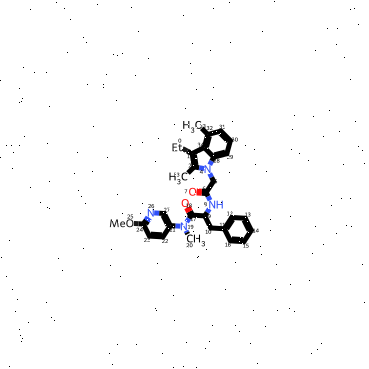 CCc1c(C)n(CC(=O)NC(Cc2ccccc2)C(=O)N(C)c2ccc(OC)nc2)c2cccc(C)c12